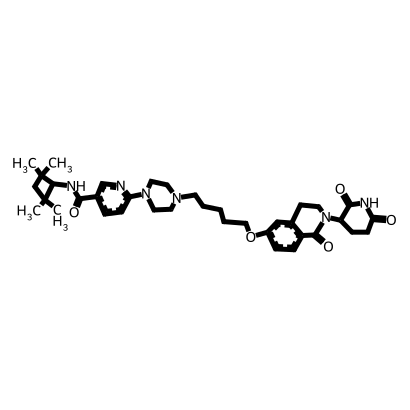 CC1(C)CC(C)(C)C1NC(=O)c1ccc(N2CCN(CCCCCOc3ccc4c(c3)CCN(C3CCC(=O)NC3=O)C4=O)CC2)nc1